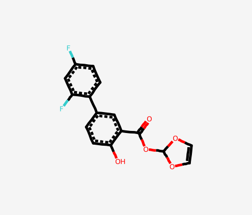 O=C(OC1OC=CO1)c1cc(-c2ccc(F)cc2F)ccc1O